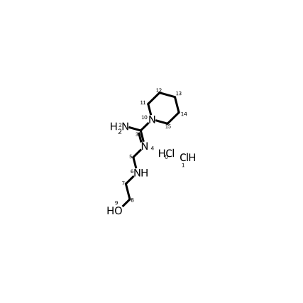 Cl.Cl.NC(=NCNCCO)N1CCCCC1